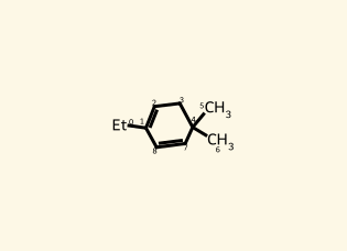 CCC1=CCC(C)(C)C=C1